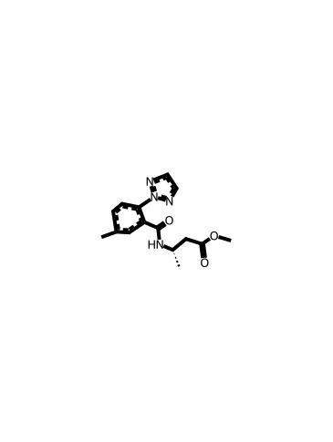 COC(=O)C[C@H](C)NC(=O)c1cc(C)ccc1-n1nccn1